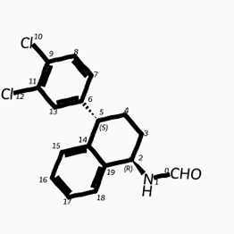 O=CN[C@@H]1CC[C@@H](c2ccc(Cl)c(Cl)c2)c2ccccc21